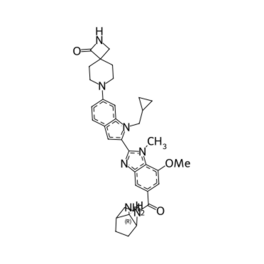 COc1cc(C(=O)N2CC3CCC2[C@@H]3N)cc2nc(-c3cc4ccc(N5CCC6(CC5)CNC6=O)cc4n3CC3CC3)n(C)c12